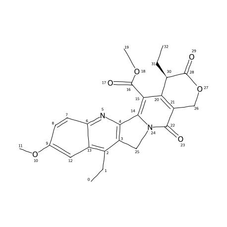 CCc1c2c(nc3ccc(OC)cc13)-c1c(C(=O)OC)c3c(c(=O)n1C2)COC(=O)[C@@H]3CC